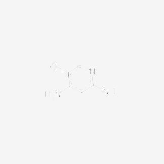 Nc1cc(N)c(Cl)cn1